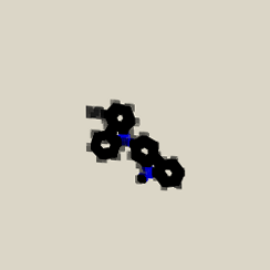 Cn1c2ccccc2c2ccc(-n3c4c(c5c(C#N)cccc53)CCC=C4)cc21